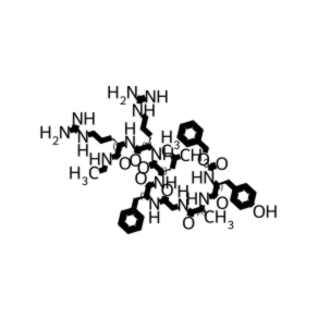 CCNC(=O)[C@H](CCCNC(=N)N)NC(=O)[C@H](CCCNC(=N)N)NC(=O)[C@H](CC(C)C)NC(=O)[C@H](Cc1ccccc1)NC(=O)CNC(=O)[C@@H](C)NC(=O)[C@H](Cc1ccc(O)cc1)NC(=O)OCc1ccccc1